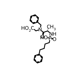 C[C@H](NP(=O)(O)CCCCc1ccccc1)C(=O)N(CC(=O)O)Cc1ccccc1